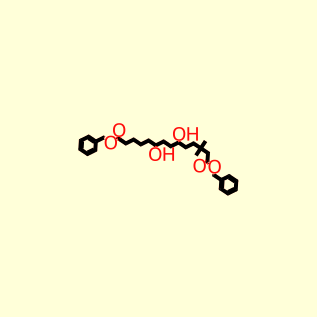 CC(C)(CCC(O)CCC(O)CCCCC(=O)OCc1ccccc1)CC(=O)OCc1ccccc1